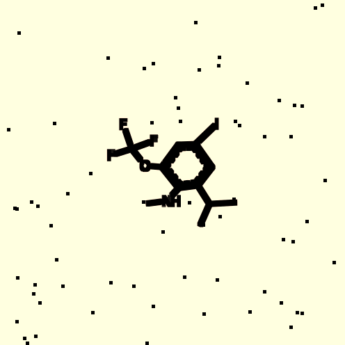 CNc1c(OC(F)(F)F)cc(I)cc1C(C)C